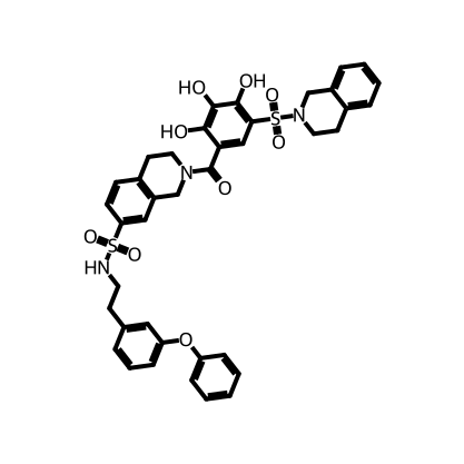 O=C(c1cc(S(=O)(=O)N2CCc3ccccc3C2)c(O)c(O)c1O)N1CCc2ccc(S(=O)(=O)NCCc3cccc(Oc4ccccc4)c3)cc2C1